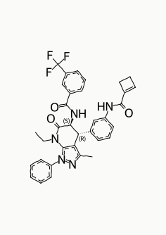 CCN1C(=O)[C@@H](NC(=O)c2cccc(C(F)(F)F)c2)[C@H](c2cccc(NC(=O)C3=CCC3)c2)c2c(C)nn(-c3ccccc3)c21